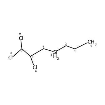 CCC[SiH2]CC(Cl)C(Cl)Cl